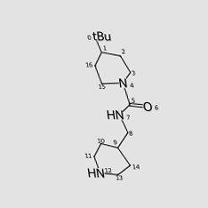 CC(C)(C)C1CCN(C(=O)NCC2CCNCC2)CC1